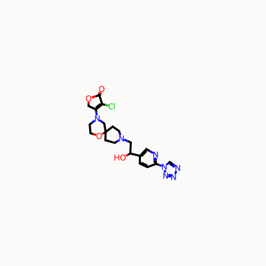 O=C1OCC(N2CCOC3(CCN(CC(O)c4ccc(-n5cnnn5)nc4)CC3)C2)=C1Cl